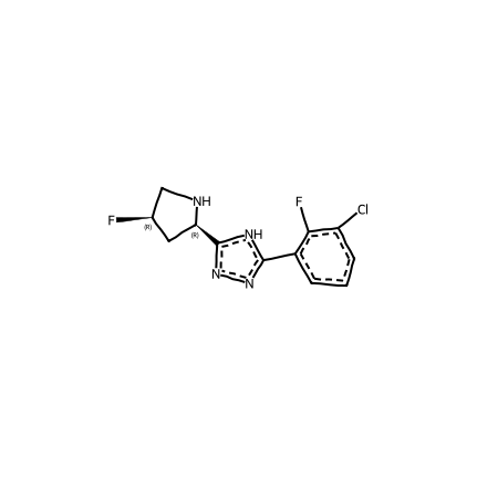 Fc1c(Cl)cccc1-c1nnc([C@H]2C[C@@H](F)CN2)[nH]1